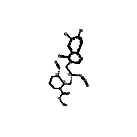 CC(C)(C)OC(=O)N1CCC[C@H](P=O)[C@H]1C[C@H](Cn1cnc2cc(Br)c(Cl)cc2c1=O)N=[N+]=[N-]